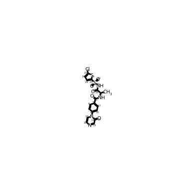 CC(NC(=O)c1ccc(-n2ccncc2=O)cc1)C(=O)NS(=O)(=O)c1ccc(Cl)s1